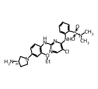 CCOc1cc(N2CC[C@@H](N)C2)ccc1Nc1ncc(Cl)c(Nc2ccccc2S(=O)(=O)N(C)C)n1